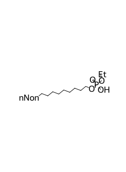 CCCCCCCCCCCCCCCCCCOP(=O)(O)OCC